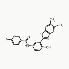 Cc1cc2nc(-c3cc(NC(=O)c4ccc(F)cc4)ccc3O)oc2cc1C